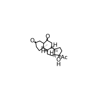 CC(=O)[C@@]1(O)CC[C@H]2[C@@H]3CC(=O)C4CC(=O)CC[C@]4(C)[C@H]3CC[C@@]21C